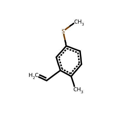 C=Cc1cc(SC)ccc1C